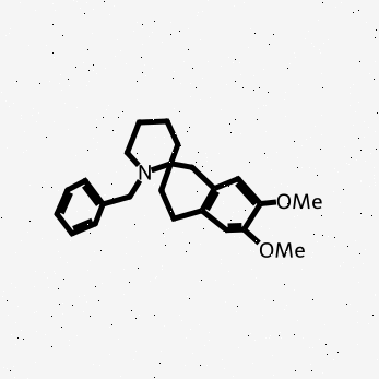 COc1cc2c(cc1OC)CC1(CCCCN1Cc1ccccc1)CC2